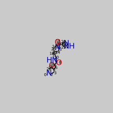 C=N/C=C\c1cc(C(=O)NCC2CC23CCN(C(=O)c2cn[nH]c2)CC3)oc1C